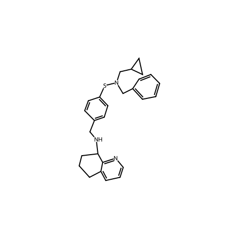 c1ccc(CN(CC2CC2)Sc2ccc(CNC3CCCc4cccnc43)cc2)cc1